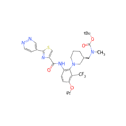 CC(C)Oc1ccc(NC(=O)c2csc(-c3ccnnc3)n2)c(N2CCC[C@@H](CN(C)C(=O)OC(C)(C)C)C2)c1C(F)(F)F